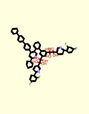 OC(O)(c1ccc(-c2ccc(F)cc2F)nc1)C(O)(O)c1cc(-c2ccccc2-c2cnc(-c3ccccc3)cc2-c2ccc(-c3ccc(-c4ccccc4)cc3)cc2)cc(C(O)(O)C(O)(O)c2ccc(-c3ccc(F)cc3F)nc2)c1